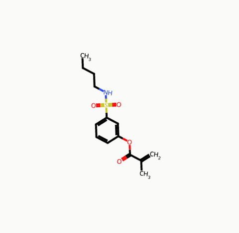 C=C(C)C(=O)Oc1cccc(S(=O)(=O)NCCCC)c1